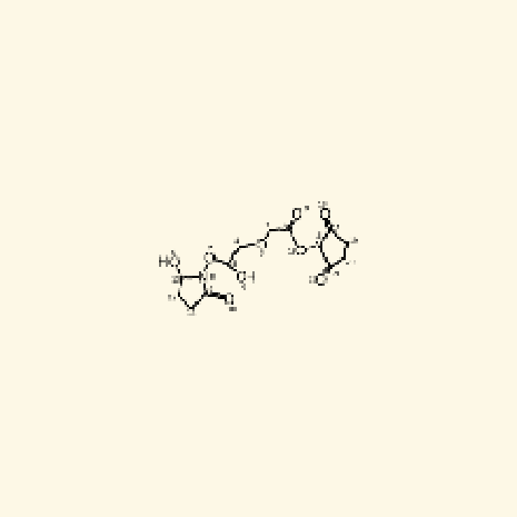 O=C(COCC(O)ON1C(=O)CCC1O)ON1C(=O)CCC1=O